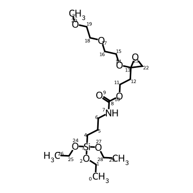 CCO[Si](CCCNC(=O)OCCC1(OCCOCCOC)CO1)(OCC)OCC